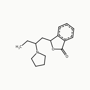 CCC(CC1OC(=O)c2ccccc21)N1CCCC1